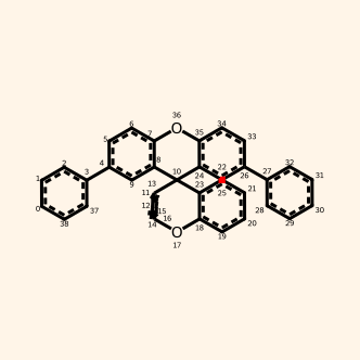 c1ccc(-c2ccc3c(c2)C2(c4ccccc4Oc4ccccc42)c2cc(-c4ccccc4)ccc2O3)cc1